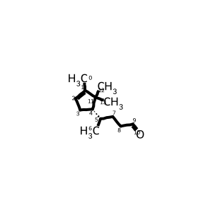 CC1=CC[C@@H](C(C)CCC=O)C1(C)C